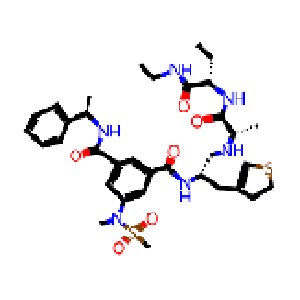 CCNC(=O)[C@H](CC)NC(=O)[C@H](C)NC[C@H](CC1=CSCC1)NC(=O)c1cc(C(=O)N[C@H](C)c2ccccc2)cc(N(C)S(C)(=O)=O)c1